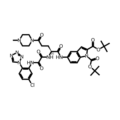 CN1CCN(C(=O)CC[C@H](NC(=O)C(=O)Nc2cc(Cl)ccc2-n2cnnn2)C(=O)Nc2ccc3c(c2)cc(C(=O)OC(C)(C)C)n3C(=O)OC(C)(C)C)CC1